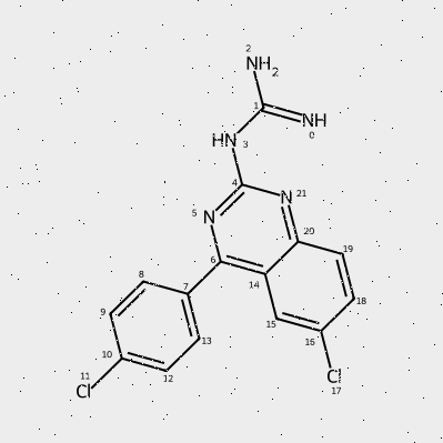 N=C(N)Nc1nc(-c2ccc(Cl)cc2)c2cc(Cl)ccc2n1